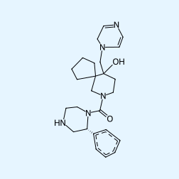 O=C(N1CCC(O)(CN2C=CN=CC2)C2(CCCC2)C1)N1CCNC[C@H]1c1ccccc1